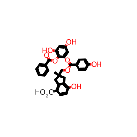 CC1(COC(=O)c2ccc(O)cc2)Cc2c(O)ccc(C(=O)O)c2C1.O=C(Oc1ccc(O)cc1O)c1ccccc1